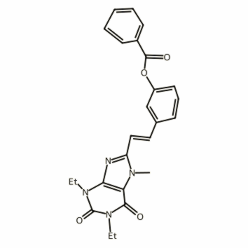 CCn1c(=O)c2c(nc(C=Cc3cccc(OC(=O)c4ccccc4)c3)n2C)n(CC)c1=O